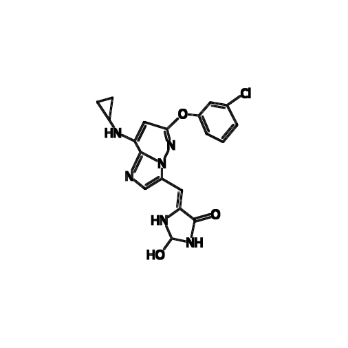 O=C1NC(O)N/C1=C\c1cnc2c(NC3CC3)cc(Oc3cccc(Cl)c3)nn12